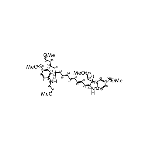 COCCNc1ccc(SOC)cc1C(C)(C/C=C/C=C/C=C/C=C1/Nc2ccc(SOC)cc2C1(C)CCOC)CCCSOC